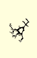 CCC(C)(C)c1cc(C=O)c(OC)c([N+](=O)[O-])c1